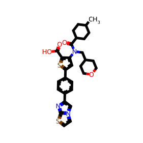 CC1CCC(C(=O)N(CC2CCOCC2)c2cc(-c3ccc(-c4cn5ccsc5n4)cc3)sc2C(=O)O)CC1